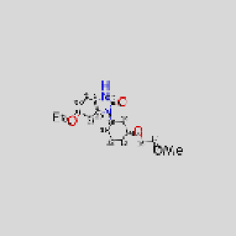 CCOc1ccc2[nH]c(=O)n(C3CCCC(OCCOC)C3)c2c1